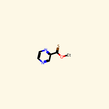 CCOC(=S)c1cnccn1